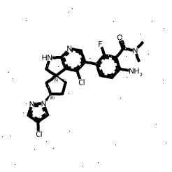 CN(C)C(=O)c1c(N)ccc(-c2cnc3c(c2Cl)[C@@]2(CC[C@@H](n4cc(Cl)cn4)C2)CN3)c1F